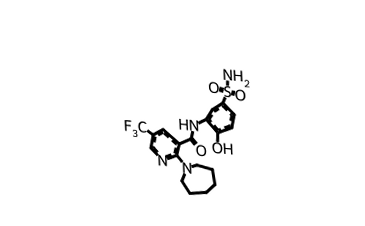 NS(=O)(=O)c1ccc(O)c(NC(=O)c2cc(C(F)(F)F)cnc2N2CCCCCC2)c1